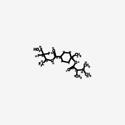 CC(C(=O)OC1(C)CCC(C(=O)OC(C(F)(F)F)C(F)(F)S(=O)(=O)O)CC1)N(C)C